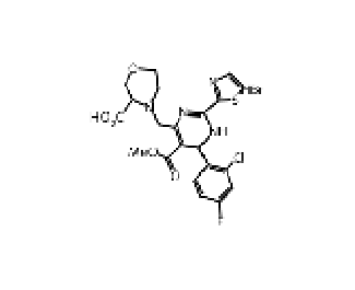 Br.COC(=O)C1=C(CN2CCOCC2C(=O)O)N=C(c2nccs2)NC1c1ccc(F)cc1Cl